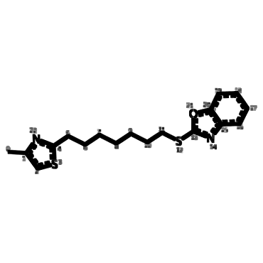 Cc1csc(CCCCCCCSc2nc3ccccc3o2)n1